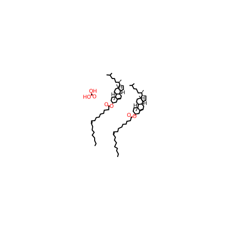 CCCCCCCC/C=C\CCCCCCCC(=O)O[C@H]1CC[C@@]2(C)C(=CC[C@H]3[C@@H]4CC[C@H]([C@H](C)CCCC(C)C)[C@@]4(C)CC[C@@H]32)C1.CCCCCCCC/C=C\CCCCCCCC(=O)O[C@H]1CC[C@@]2(C)C(=CC[C@H]3[C@@H]4CC[C@H]([C@H](C)CCCC(C)C)[C@@]4(C)CC[C@@H]32)C1.O=C(O)O